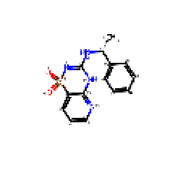 C[C@@H](NC1=NS(=O)(=O)c2cccnc2N1)c1ccccc1